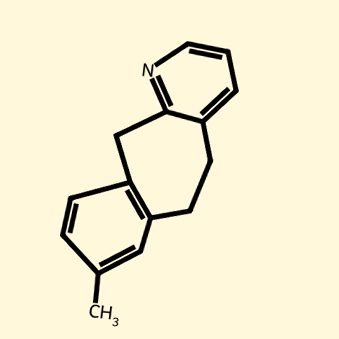 Cc1ccc2c(c1)CCc1cccnc1C2